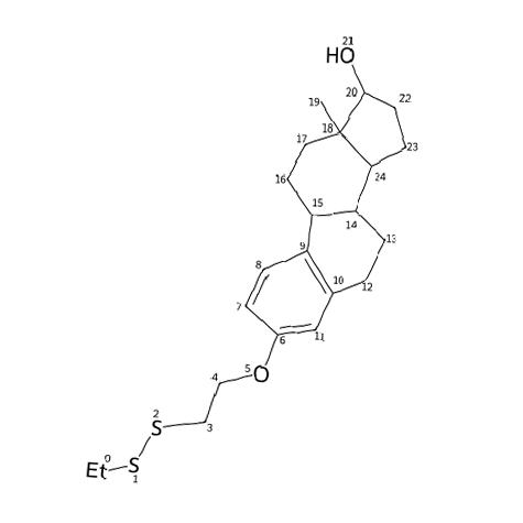 CCSSCCOc1ccc2c(c1)CCC1C2CCC2(C)C(O)CCC12